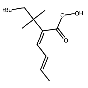 CC=CC=C(C(=O)OO)C(C)(C)CC(C)(C)C